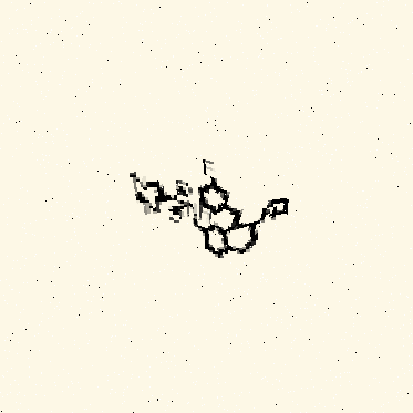 Cn1cnc(S(=O)(=O)NCc2ccc3c(c2)C(Cc2cccc(F)c2)C(N2CCC2)CC3)c1